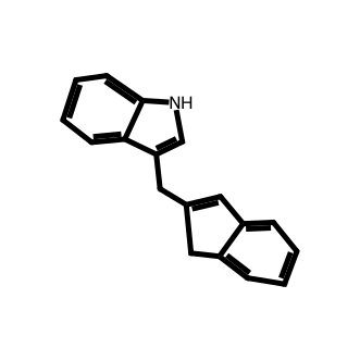 C1=C(Cc2c[nH]c3ccccc23)Cc2ccccc21